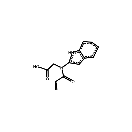 C=CC(=O)N(CC(=O)O)c1cc2ccccc2[nH]1